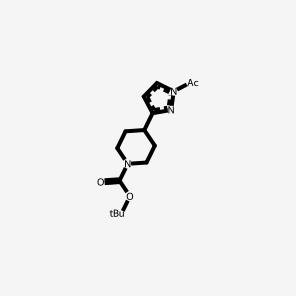 CC(=O)n1ccc(C2CCN(C(=O)OC(C)(C)C)CC2)n1